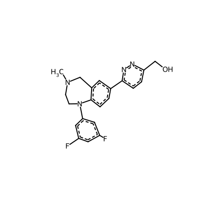 CN1CCN(c2cc(F)cc(F)c2)c2ccc(-c3ccc(CO)nn3)cc2C1